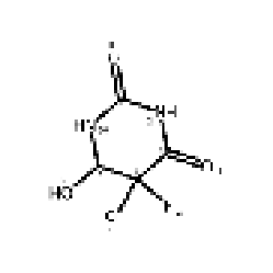 O=C1NC(=O)C(F)(Cl)C(O)N1